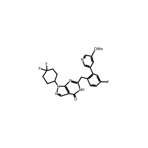 COc1cncc(-c2cc(F)ccc2Cc2nc3c(cnn3C3CCC(F)(F)CC3)c(=O)[nH]2)c1